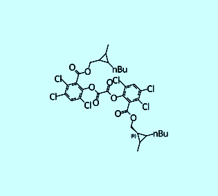 CCCCC1C(C)C1COC(=O)c1c(Cl)c(Cl)cc(Cl)c1OC(=O)C(=O)Oc1c(Cl)cc(Cl)c(Cl)c1C(=O)OC[C@@H]1C(C)C1CCCC